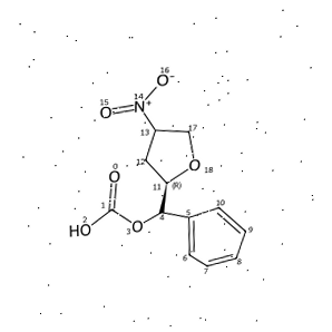 O=C(O)OC(c1ccccc1)[C@H]1CC([N+](=O)[O-])CO1